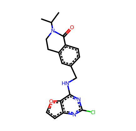 CC(C)N1CCc2cc(CNc3nc(Cl)nc4ccoc34)ccc2C1=O